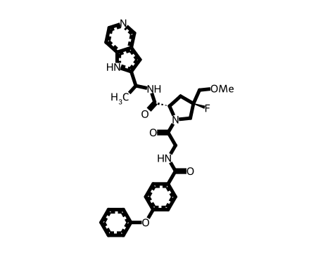 COC[C@@]1(F)C[C@@H](C(=O)NC(C)c2cc3cnccc3[nH]2)N(C(=O)CNC(=O)c2ccc(Oc3ccccc3)cc2)C1